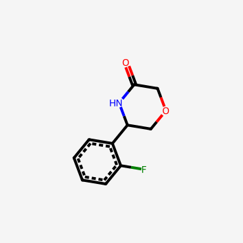 O=C1COCC(c2ccccc2F)N1